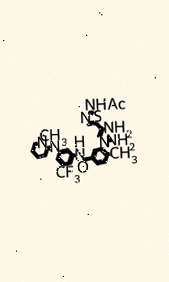 CC(=O)Nc1ncc(/C(N)=C/N(N)c2cc(C(=O)Nc3cc(/N=C4\CCCCN4C)cc(C(F)(F)F)c3)ccc2C)s1